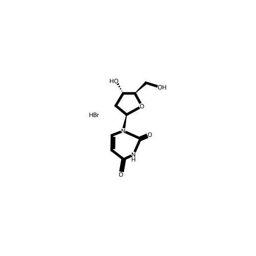 Br.O=c1ccn([C@H]2C[C@H](O)[C@@H](CO)O2)c(=O)[nH]1